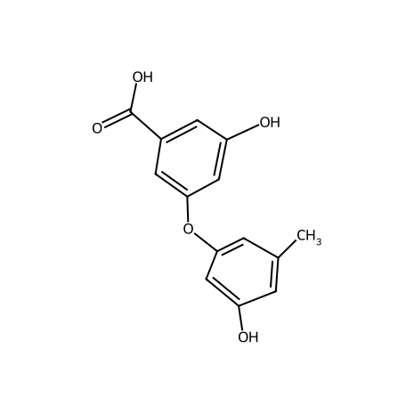 Cc1cc(O)cc(Oc2cc(O)cc(C(=O)O)c2)c1